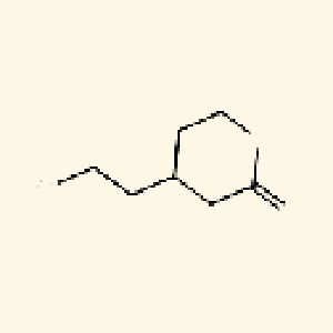 CC(=O)CCC1CCOC(=O)C1